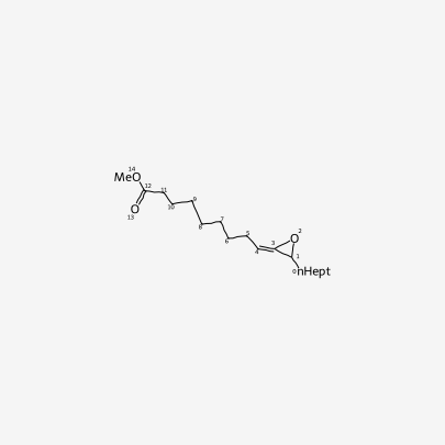 CCCCCCCC1OC1=CCCCCCCCC(=O)OC